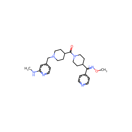 CNc1cc(CN2CCC(C(=O)N3CCC(/C(=N/OC)c4ccncc4)CC3)CC2)ccn1